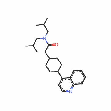 CC(C)CN(CC(C)C)C(=O)CC1CCC(c2ccnc3ccccc23)CC1